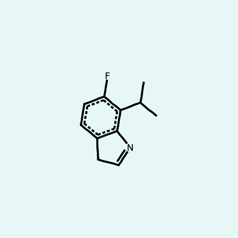 CC(C)c1c(F)ccc2c1N=CC2